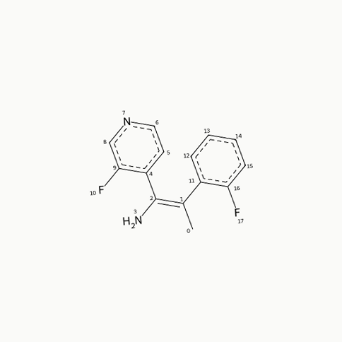 C/C(=C(\N)c1ccncc1F)c1ccccc1F